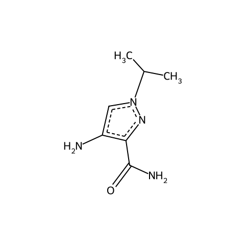 CC(C)n1cc(N)c(C(N)=O)n1